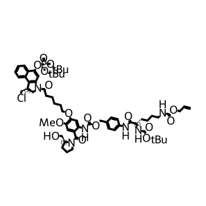 C=CCOC(=O)NCCCC[C@H](NC(=O)OC(C)(C)C)C(=O)Nc1ccc(COC(=O)Nc2cc(OCCCCCC(=O)N3C[C@@H](CCl)c4c3cc(OP(=O)(OC(C)(C)C)OC(C)(C)C)c3ccccc43)c(OC)cc2C(=O)N2CCC[C@H]2CO)cc1